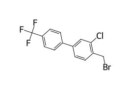 FC(F)(F)c1ccc(-c2ccc(CBr)c(Cl)c2)cc1